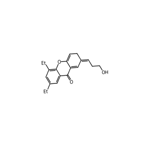 CCc1cc(CC)c2oc3c(c(=O)c2c1)=CC(=CCCO)CC=3